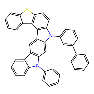 c1ccc(-c2cccc(-n3c4cc5c(cc4c4c6c(ccc43)sc3ccccc36)c3ccccc3n5-c3ccccc3)c2)cc1